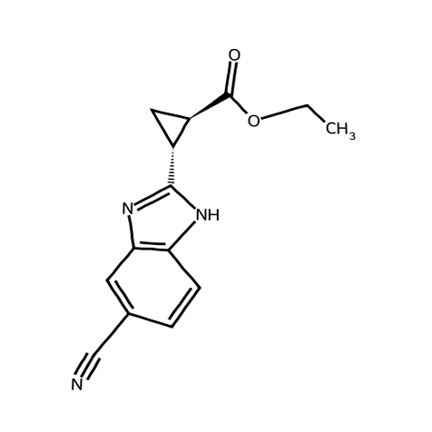 CCOC(=O)[C@@H]1C[C@H]1c1nc2cc(C#N)ccc2[nH]1